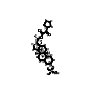 C[C@H](OC(=O)C(=O)N1CCCC1)[C@H]1CC[C@H]2[C@@H]3CC=C4C[C@@H](O[Si](C)(C)C(C)(C)C)CC[C@]4(C)[C@H]3CC[C@]12C